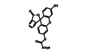 CCCCCCCC(=O)Oc1ccc2c(c1)Oc1cc(O)ccc1C21OC(=O)c2ccccc21